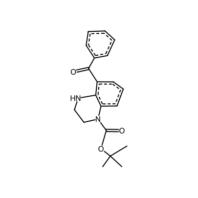 CC(C)(C)OC(=O)N1CCNc2c(C(=O)c3ccccc3)cccc21